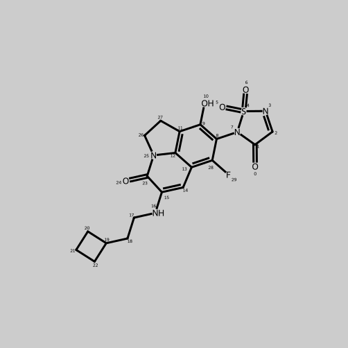 O=C1C=NS(=O)(=O)N1c1c(O)c2c3c(cc(NCCC4CCC4)c(=O)n3CC2)c1F